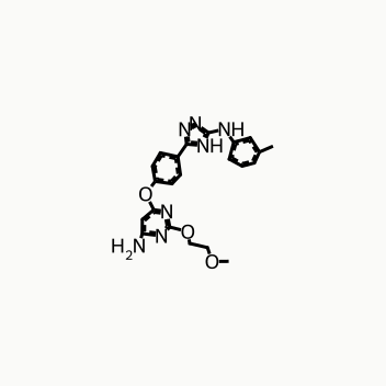 COCCOc1nc(N)cc(Oc2ccc(-c3nnc(Nc4cccc(C)c4)[nH]3)cc2)n1